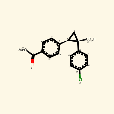 COC(=O)c1ccc([C@H]2C[C@]2(C(=O)O)c2ccc(Cl)cc2)cc1